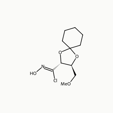 COC[C@@H]1OC2(CCCCC2)O[C@H]1/C(Cl)=N/O